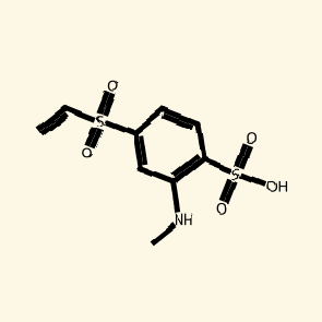 C=CS(=O)(=O)c1ccc(S(=O)(=O)O)c(NC)c1